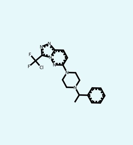 CC(c1ccccc1)N1CCN(c2ccc3nnc(C(F)(F)Cl)n3n2)CC1